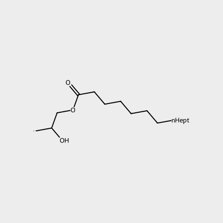 [CH2]C(O)COC(=O)CCCCCCCCCCCCC